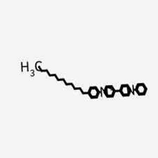 CCCCCCCCCCCCc1ccc(-[n+]2ccc(-c3cc[n+](-c4ccccc4)cc3)cc2)cc1